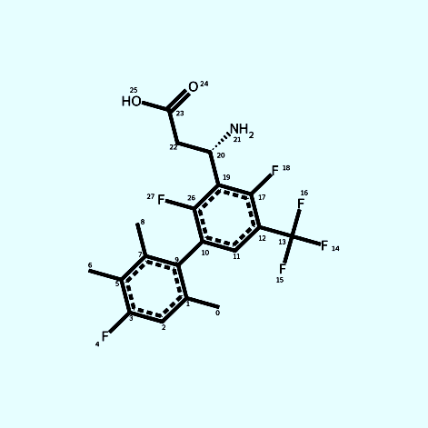 Cc1cc(F)c(C)c(C)c1-c1cc(C(F)(F)F)c(F)c([C@@H](N)CC(=O)O)c1F